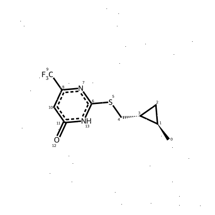 C[C@@H]1C[C@H]1CSc1nc(C(F)(F)F)cc(=O)[nH]1